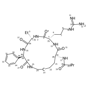 CC[C@@H]1NC(=O)[C@H](CCCNC(=N)N)NC(=O)[C@H](NC(=O)C(C)C)CCCCNC(=O)[C@@H](c2ccccc2)NC1=O